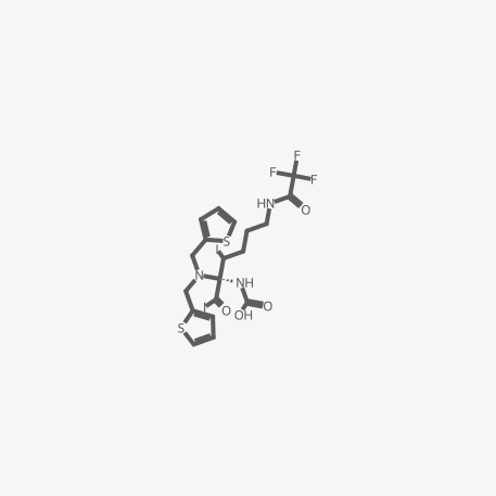 O=C(O)N[C@@](C(=O)I)(C(I)CCCNC(=O)C(F)(F)F)N(Cc1cccs1)Cc1cccs1